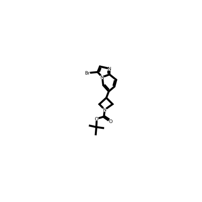 CC(C)(C)OC(=O)N1CC(c2ccc3ncc(Br)n3c2)C1